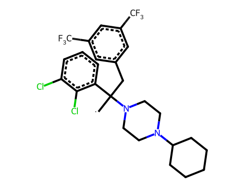 [CH2]C(Cc1cc(C(F)(F)F)cc(C(F)(F)F)c1)(c1cccc(Cl)c1Cl)N1CCN(C2CCCCC2)CC1